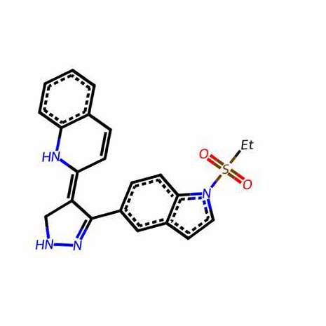 CCS(=O)(=O)n1ccc2cc(C3=NNCC3=C3C=Cc4ccccc4N3)ccc21